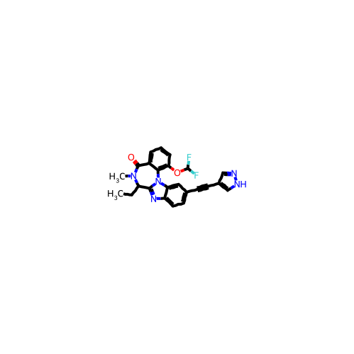 CCC1c2nc3ccc(C#Cc4cn[nH]c4)cc3n2-c2c(OC(F)F)cccc2C(=O)N1C